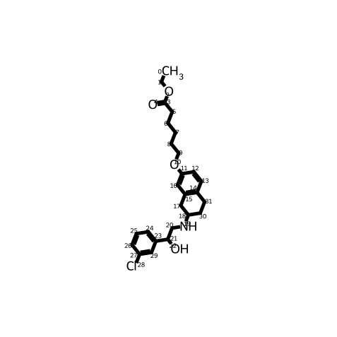 CCOC(=O)CCCCCOc1ccc2c(c1)CC(NCC(O)c1cccc(Cl)c1)CC2